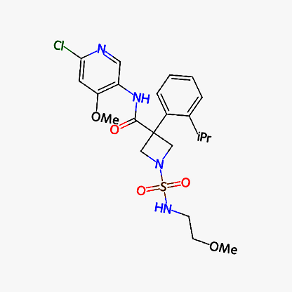 COCCNS(=O)(=O)N1CC(C(=O)Nc2cnc(Cl)cc2OC)(c2ccccc2C(C)C)C1